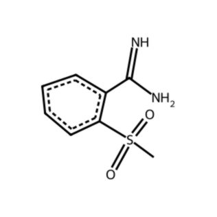 CS(=O)(=O)c1ccccc1C(=N)N